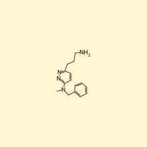 CN(Cc1ccccc1)c1ccc(CCCN)nn1